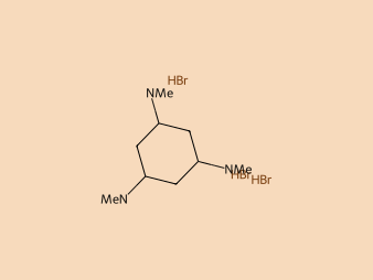 Br.Br.Br.CNC1CC(NC)CC(NC)C1